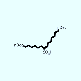 CCCCCCCCCCCCCCCCC=C(CCCCCCCCCCCCCCCC)S(=O)(=O)O